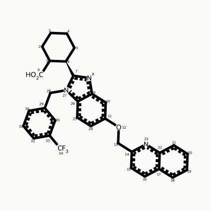 O=C(O)C1CCCC[C@H]1c1nc2cc(OCc3ccc4ccccc4n3)ccc2n1Cc1cccc(C(F)(F)F)c1